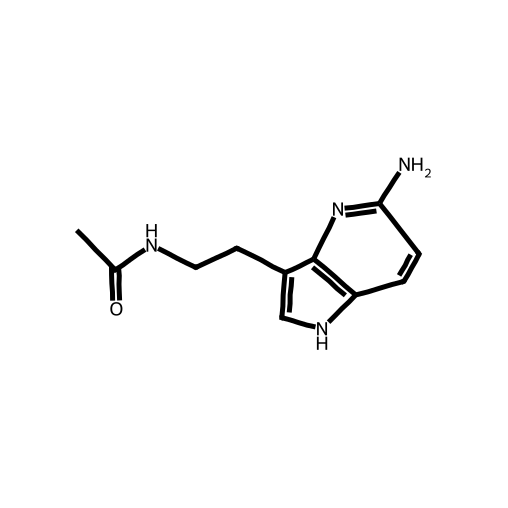 CC(=O)NCCc1c[nH]c2ccc(N)nc12